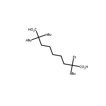 CCCCC(CC)(CCCCCC(CCCC)(CCCC)C(=O)O)C(=O)O